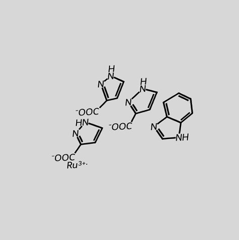 O=C([O-])c1cc[nH]n1.O=C([O-])c1cc[nH]n1.O=C([O-])c1cc[nH]n1.[Ru+3].c1ccc2[nH]cnc2c1